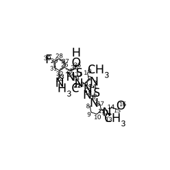 CCc1nc2sc(N3CCCC(N(C)CC=O)C3)nn2c1N(C)c1nc(-c2ccc(F)cc2C#N)c(O)s1